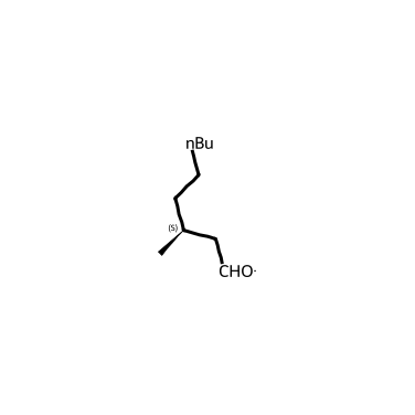 CCCCCC[C@H](C)C[C]=O